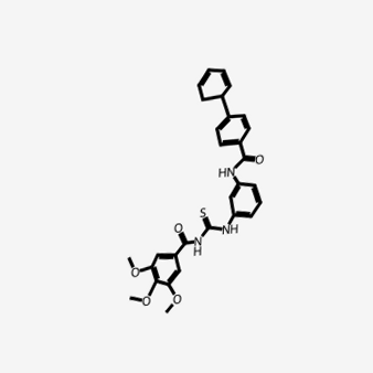 COc1cc(C(=O)NC(=S)Nc2cccc(NC(=O)c3ccc(C4C=CC=CC4)cc3)c2)cc(OC)c1OC